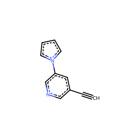 C#Cc1cncc(-n2cccc2)c1